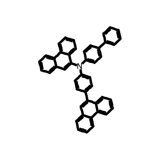 c1ccc(-c2ccc(N(c3ccc(-c4cc5ccccc5c5ccccc45)cc3)c3cc4ccccc4c4ccccc34)cc2)cc1